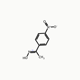 C/C(=N\O)c1ccc([N+](=O)[O-])cc1